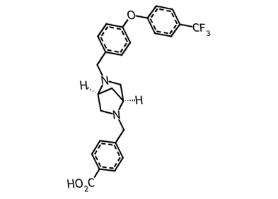 O=C(O)c1ccc(CN2C[C@@H]3C[C@H]2CN3Cc2ccc(Oc3ccc(C(F)(F)F)cc3)cc2)cc1